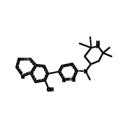 CN(c1ccc(-c2cc3cccnc3cc2O)nn1)C1CC(C)(C)NC(C)(C)C1